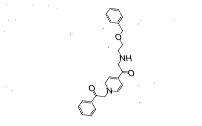 O=C(CNCCOCc1ccccc1)C1=CCN(CC(=O)c2ccccc2)C=C1